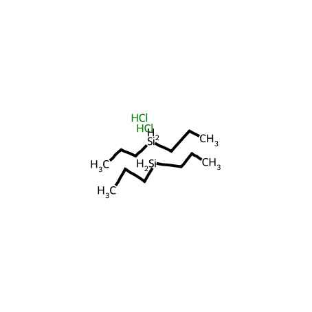 CCC[SiH2]CCC.CCC[SiH2]CCC.Cl.Cl